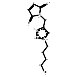 O=C1C=CC(=O)N1Cc1cn(CCCCS)nn1